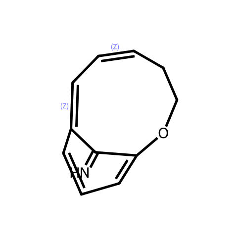 N=C1C2=CC=C/C1=C/C=C\CCO2